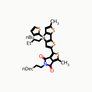 CCCCCCCCCCCCN1C(=O)c2c(C)sc(-c3cc4c(s3)-c3sc(C)cc3[Si]4(CC(CC)CCCC)c3cccs3)c2C1=O